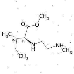 CC[C@H](C)[C@H](NCCNC)C(=O)OC